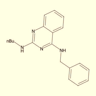 CCCCNc1nc(NCc2ccccc2)c2ccccc2n1